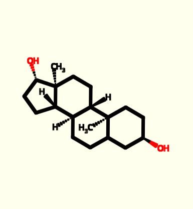 C[C@]12CC[C@H]3[C@@H](CCC4C[C@H](O)CC[C@@]43C)[C@@H]1CC[C@@H]2O